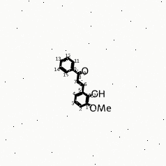 COc1cccc(/C=C/C(=O)c2ccccc2)c1O